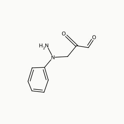 NN(CC(=O)C=O)c1ccccc1